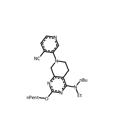 CCCCCOc1nc2c(c(N(CC)CCCC)n1)CCN(c1cnccc1C#N)C2